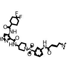 CN(C)CC=CC(=O)Nc1cccc(S(=O)(=O)N2CCC(NC(=O)c3n[nH]cc3NC(=O)C3CCC(F)(F)CC3)CC2)c1